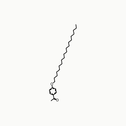 CCCCCCCCCCCCCCCCCCCCOc1ccc(C(C)=O)cc1